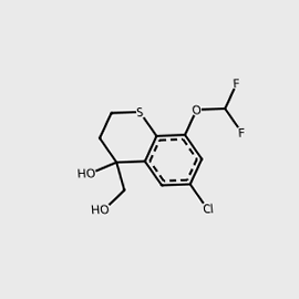 OCC1(O)CCSc2c(OC(F)F)cc(Cl)cc21